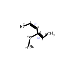 C/C=C(\C=C/CC)SCCCC